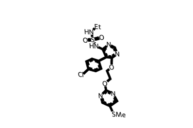 CCNS(=O)(=O)Nc1ncnc(OCCOc2ncc(SC)cn2)c1-c1ccc(Cl)cc1